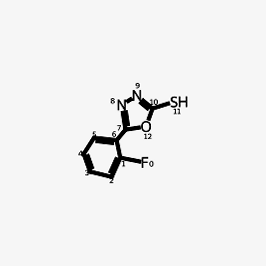 Fc1ccccc1-c1nnc(S)o1